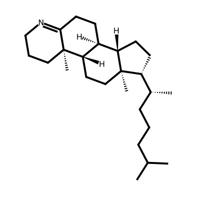 CC(C)CCC[C@@H](C)[C@H]1CC[C@H]2[C@@H]3CCC4=NCCC[C@]4(C)[C@H]3CC[C@]12C